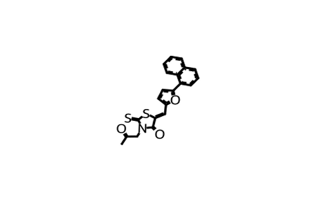 CC(=O)CN1C(=O)C(=Cc2ccc(-c3cccc4ccccc34)o2)SC1=S